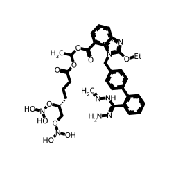 C=NN/C(=N\N)c1ccccc1-c1ccc(Cn2c(OCC)nc3cccc(C(=O)OC(C)OC(=O)CCC[C@H](CON(O)O)ON(O)O)c32)cc1